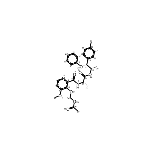 COc1ccnc(C(=O)N[C@@H](C)C(=O)O[C@@H](C)[C@H](Oc2ccccc2)c2ccc(C)cc2)c1OCOC(C)=O